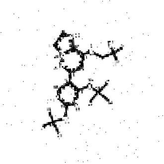 CC(F)(F)COc1cc(-c2cnc(OC(C)(C)C)nc2OC(C)(C)C)nn2ccnc12